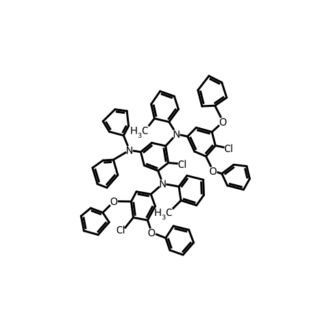 Cc1ccccc1N(c1cc(Oc2ccccc2)c(Cl)c(Oc2ccccc2)c1)c1cc(N(c2ccccc2)c2ccccc2)cc(N(c2cc(Oc3ccccc3)c(Cl)c(Oc3ccccc3)c2)c2ccccc2C)c1Cl